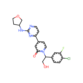 O=c1cc(-c2ccnc(NC3CCOC3)n2)ccn1C(CO)c1ccc(Cl)c(F)c1